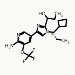 CCC(O)c1nc(-c2cnc(N)c(OC(F)(F)F)c2)cn1[C@@H](CC)C1CCC1